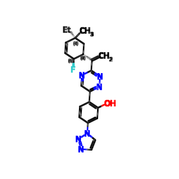 C=C(c1ncc(-c2ccc(-n3ccnn3)cc2O)nn1)[C@H]1C[C@@](C)(CC)C=C[C@@H]1F